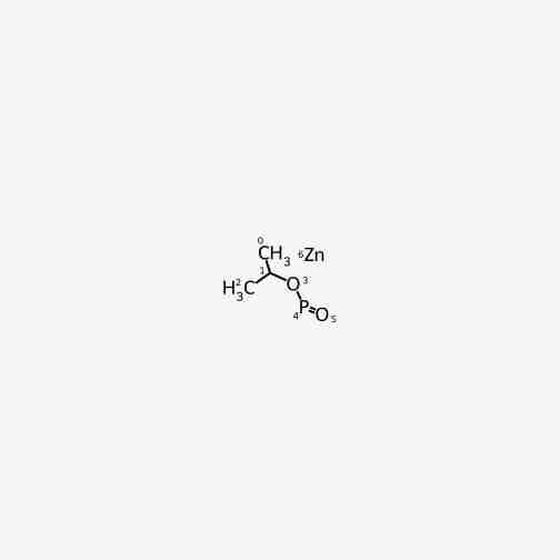 CC(C)OP=O.[Zn]